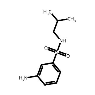 CC(C)CNS(=O)(=O)c1cccc(N)c1